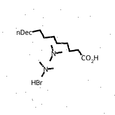 Br.CCCCCCCCCCCCCCCCCC(=O)O.CN(C)C.CN(C)C